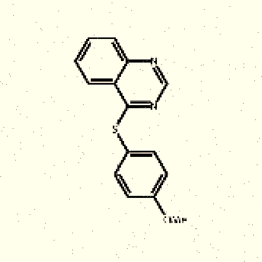 COc1ccc(Sc2ncnc3ccccc23)cc1